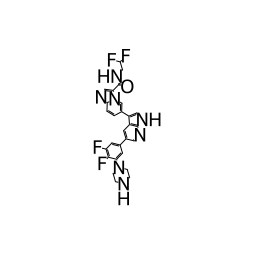 O=C(NCC(F)F)c1cnc2ccc(-c3c[nH]c4ncc(-c5cc(F)c(F)c(N6CCNCC6)c5)cc34)cn12